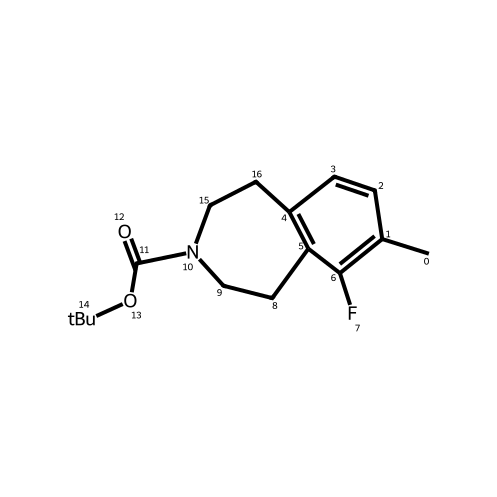 Cc1ccc2c(c1F)CCN(C(=O)OC(C)(C)C)CC2